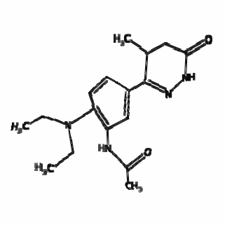 CCN(CC)c1ccc(C2=NNC(=O)CC2C)cc1NC(C)=O